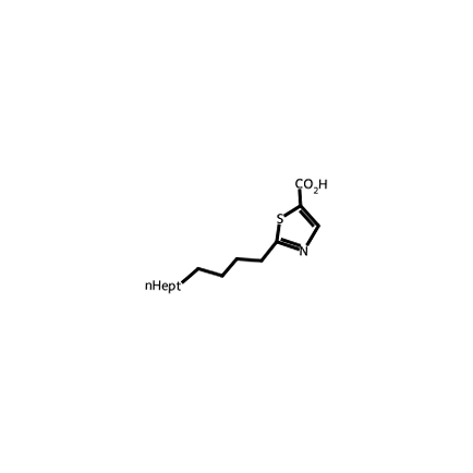 CCCCCCCCCCCc1ncc(C(=O)O)s1